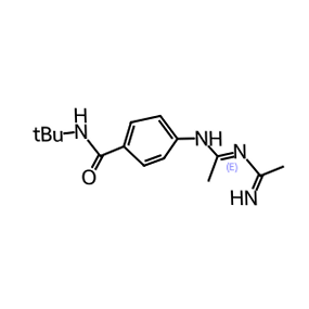 CC(=N)/N=C(\C)Nc1ccc(C(=O)NC(C)(C)C)cc1